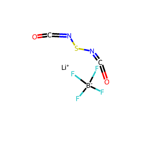 F[B-](F)(F)F.O=C=NSN=C=O.[Li+]